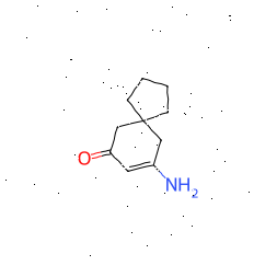 NC1=CC(=O)CC2(CCCC2)C1